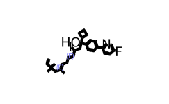 C=CC(C)(C)C/C(C)=C/C/C=C/C(I)CC(O)(c1ccc(-c2ccc(F)cn2)cc1)C1CCC1